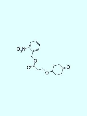 O=C1CCC(OCCC(=O)OCc2ccccc2[N+](=O)[O-])CC1